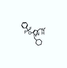 CNCc1cc(OC(F)(F)c2ccccc2)n(CC2CCCCC2)n1